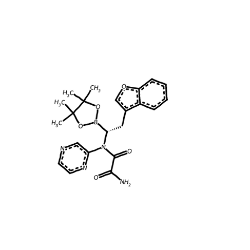 CC1(C)OB([C@H](Cc2coc3ccccc23)N(C(=O)C(N)=O)c2cnccn2)OC1(C)C